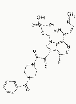 C=N/C=C\N(N)c1ncc(F)c2c(C(=O)C(=O)N3CCN(C(=O)c4ccccc4)CC3)cn(COP(=O)(O)O)c12